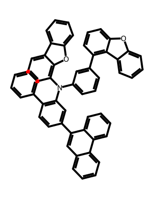 c1ccc(-c2ccc(-c3cc4ccccc4c4ccccc34)cc2N(c2cccc(-c3cccc4oc5ccccc5c34)c2)c2cccc3c2oc2ccccc23)cc1